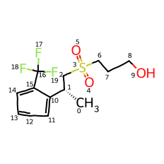 C[C@@H](CS(=O)(=O)CCCO)c1ccccc1C(F)(F)F